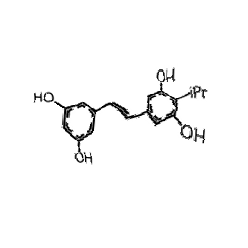 CC(C)c1c(O)cc(C=Cc2cc(O)cc(O)c2)cc1O